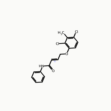 Cc1c(Cl)ccc(OC/C=C/C(=O)Nc2ccccc2)c1Cl